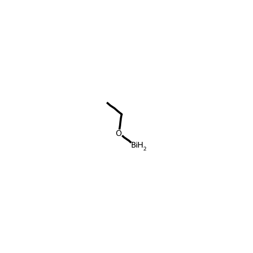 CC[O][BiH2]